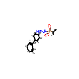 CC(C)S(=O)(=O)Nc1ccc(-c2ccccc2)cc1